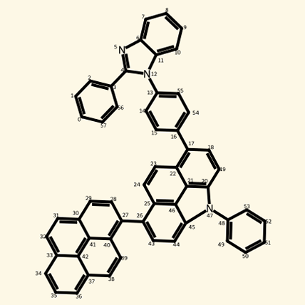 c1ccc(-c2nc3ccccc3n2-c2ccc(-c3ccc4c5c3ccc3c(-c6ccc7ccc8cccc9ccc6c7c89)ccc(c35)n4-c3ccccc3)cc2)cc1